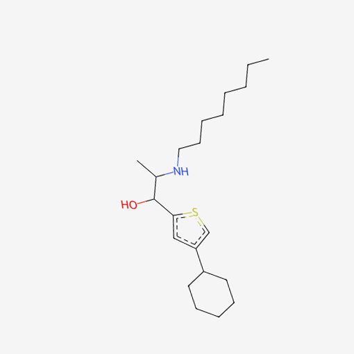 CCCCCCCCNC(C)C(O)c1cc(C2CCCCC2)cs1